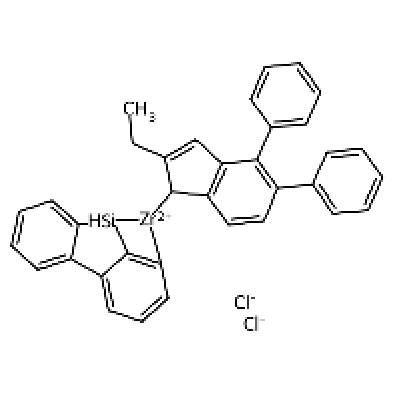 CCC1=Cc2c(ccc(-c3ccccc3)c2-c2ccccc2)[CH]1[Zr+2]1[c]2cccc3c2[SiH]1c1ccccc1-3.[Cl-].[Cl-]